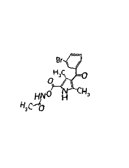 CC(=O)NOC(=O)c1[nH]c(C)c(C(=O)c2cccc(Br)c2)c1C